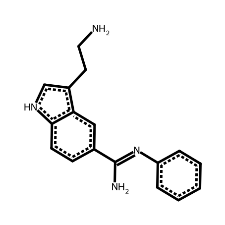 NCCc1c[nH]c2ccc(C(N)=Nc3ccccc3)cc12